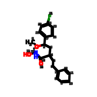 COC(CC(CCc1ccccc1)C(=O)NO)c1ccc(F)cc1